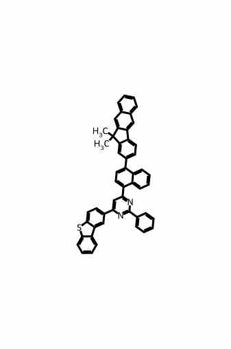 CC1(C)c2cc(-c3ccc(-c4cc(-c5ccc6sc7ccccc7c6c5)nc(-c5ccccc5)n4)c4ccccc34)ccc2-c2cc3ccccc3cc21